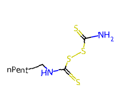 CCCCCCNC(=S)SSC(N)=S